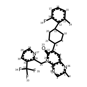 Cc1cnc2c(cc(C3CCC(c4c(C)cccc4F)CC3)c(=O)n2Cc2ncccc2C(F)(F)F)n1